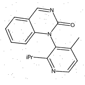 Cc1ccnc(C(C)C)c1-n1c(=O)ncc2ccccc21